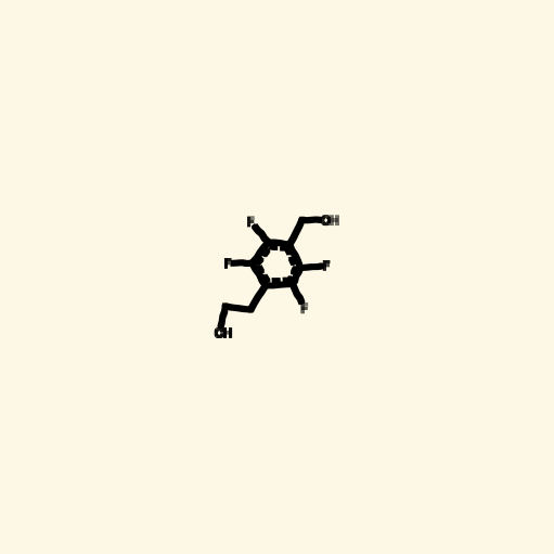 OCCc1c(F)c(F)c(CO)c(F)c1F